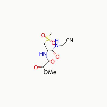 COC(=O)C(=O)NC(CS(C)(=O)=O)C(=O)NCC#N